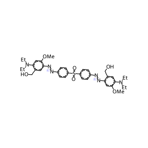 CCN(CC)c1cc(OC)c(/N=N/c2ccc(S(=O)(=O)c3ccc(/N=N/c4cc(OC)c(N(CC)CC)cc4CO)cc3)cc2)cc1CO